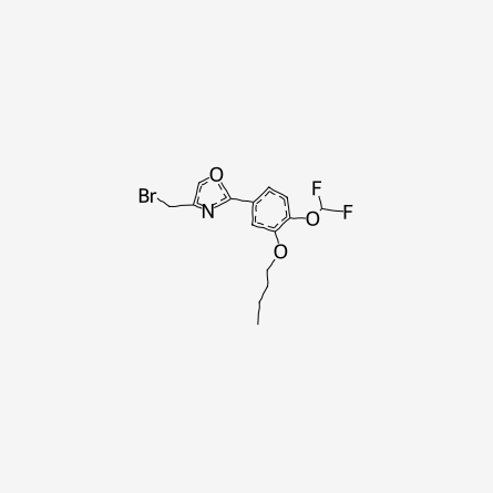 CCCCOc1cc(-c2nc(CBr)co2)ccc1OC(F)F